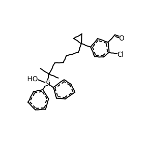 CC(C)(CCCCC1(c2ccc(Cl)c(C=O)c2)CC1)[Si](O)(c1ccccc1)c1ccccc1